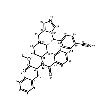 COC(=O)[C@H](Cc1ccccc1)N(C(=O)c1ccccc1)C1CCN(Cc2cncn2Cc2ccc(C#N)cc2)CC1